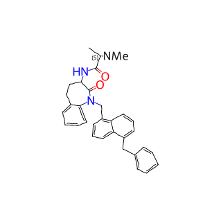 CN[C@@H](C)C(=O)NC1CCc2ccccc2N(Cc2cccc3c(Cc4ccccc4)cccc23)C1=O